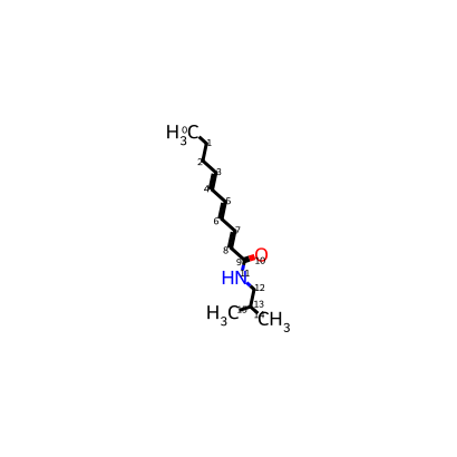 CCCC=CC=CC=CC(=O)NCC(C)C